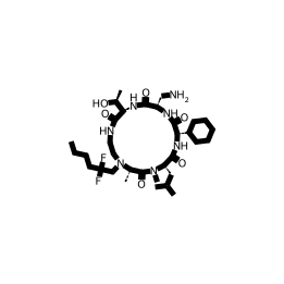 CCCCC(F)(F)CN1CCNC(=O)[C@H]([C@H](C)O)NC(=O)[C@H](CN)NC(=O)[C@H](C2CCCCC2)NC(=O)[C@H](CC(C)C)N(C)C(=O)[C@@H]1C